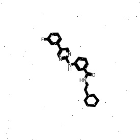 O=C(NCCC1CCCCC1)c1cccc(Nc2ncc(-c3cccc(F)c3)cn2)c1